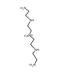 NCCNCCNCCNCCN.[Co]